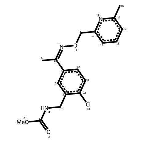 COC(=O)NCc1cc(/C(C)=N\OCc2cccc(C)n2)ccc1Cl